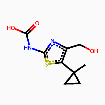 CC1(c2sc(NC(=O)O)nc2CO)CC1